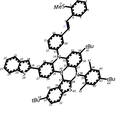 CSc1ccccc1/C=C/c1cccc(N2c3cc(-c4cc5ccccc5s4)ccc3B3c4c2cc(C(C)(C)C)cc4N(c2c(C)cc(C(C)(C)C)cc2C)c2sc4ccc(C(C)(C)C)cc4c23)c1